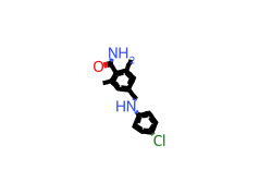 Cc1cc(CNc2ccc(Cl)cc2)cc(C)c1C(N)=O